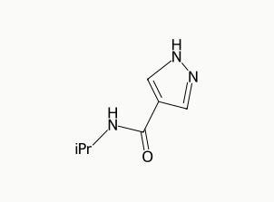 CC(C)NC(=O)c1cn[nH]c1